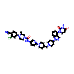 CC1CN(C(=O)Nc2ccc(N3CCC(CN4CCC(n5ncc6c(N7CCC(=O)NC7=O)cccc65)CC4)CC3)nc2)CCN1c1ccc(C#N)c(Cl)c1